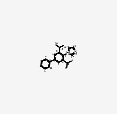 CC(C)c1cc(-c2ccccc2)cc(C(C)C)c1-n1ccnc1